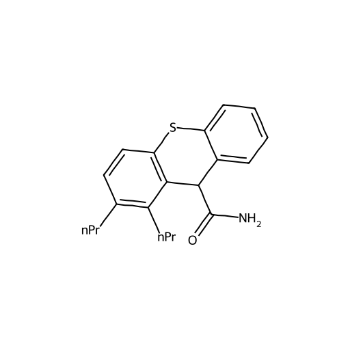 CCCc1ccc2c(c1CCC)C(C(N)=O)c1ccccc1S2